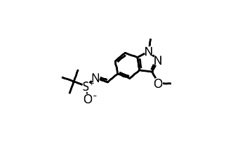 COc1nn(C)c2ccc(/C=N/[S@+]([O-])C(C)(C)C)cc12